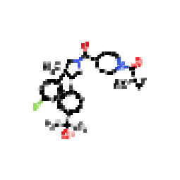 C[C@]1(c2ccc(F)cc2)CN(C(=O)C2CCN(C(=O)C3(C#N)CC3)CC2)C[C@H]1c1ccc(C(O)(C(F)(F)F)C(F)(F)F)cc1